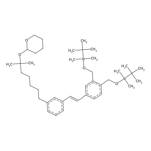 CC(C)(CCCCCc1cccc(C=Cc2ccc(CO[Si](C)(C)C(C)(C)C)c(CO[Si](C)(C)C(C)(C)C)c2)c1)OC1CCCCO1